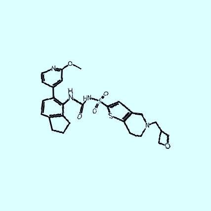 COc1cc(-c2ccc3c(c2NC(=O)NS(=O)(=O)c2cc4c(s2)CCN(CC2COC2)C4)CCC3)ccn1